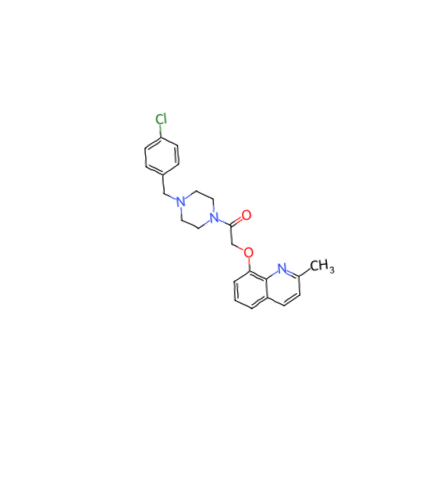 Cc1ccc2cccc(OCC(=O)N3CCN(Cc4ccc(Cl)cc4)CC3)c2n1